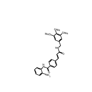 COc1cc(CNC(=O)C=Cc2ccc(C(=O)Nc3ccccc3N)cc2)cc(OC)c1OC